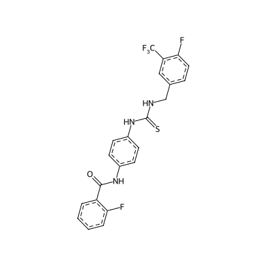 O=C(Nc1ccc(NC(=S)NCc2ccc(F)c(C(F)(F)F)c2)cc1)c1ccccc1F